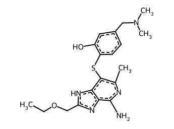 CCOCc1nc2c(N)nc(C)c(Sc3ccc(CN(C)C)cc3O)c2[nH]1